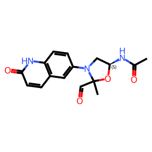 CC(=O)N[C@@H]1CN(c2ccc3[nH]c(=O)ccc3c2)C(C)(C=O)O1